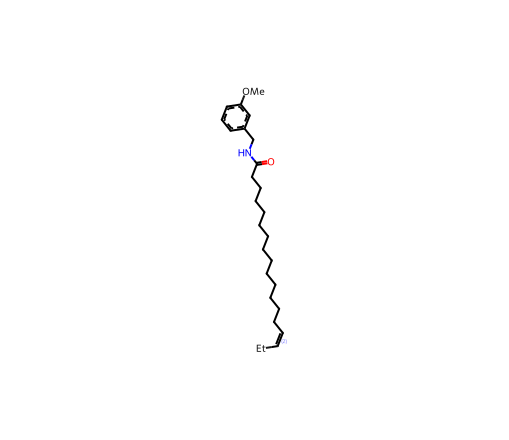 CC/C=C\CCCCCCCCCCCCCC(=O)NCc1cccc(OC)c1